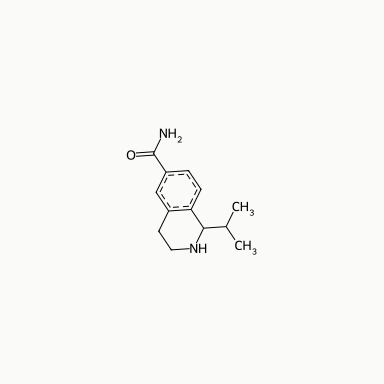 CC(C)C1NCCc2cc(C(N)=O)ccc21